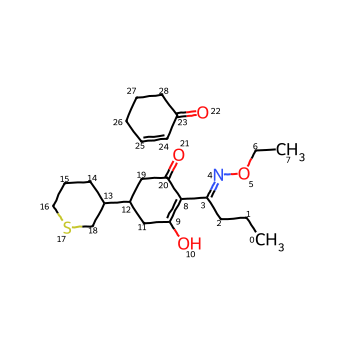 CCCC(=NOCC)C1=C(O)CC(C2CCCSC2)CC1=O.O=C1C=CCCC1